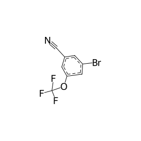 N#Cc1cc(Br)cc(OC(F)(F)F)c1